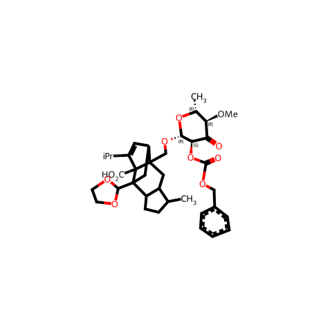 CO[C@H]1C(=O)[C@@H](OC(=O)OCc2ccccc2)[C@H](OCC23CC4C(C)CCC4C4(C5OCCO5)CC2C=C(C(C)C)C34C(=O)O)O[C@@H]1C